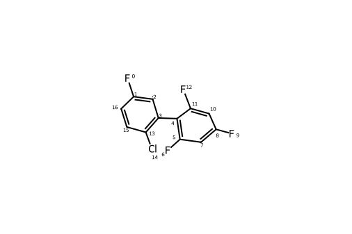 Fc1[c]c(-c2c(F)cc(F)cc2F)c(Cl)cc1